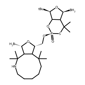 B[C@@H]1O[C@H](CO[P@@]2(=O)OC3C([C@H](B)O[C@@H]3C(C)(C)C)C(C)(C)S2)C2C1C(C)(C)NCCCCCC2(C)C